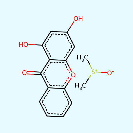 C[S+](C)[O-].O=c1c2ccccc2oc2cc(O)cc(O)c12